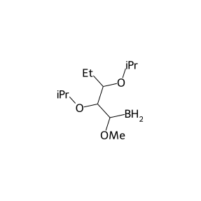 BC(OC)C(OC(C)C)C(CC)OC(C)C